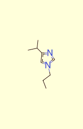 CCCn1cnc(C(C)C)c1